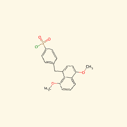 COc1ccc(Cc2ccc(S(=O)(=O)Cl)cc2)c2c(OC)cccc12